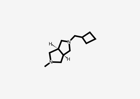 CN1C[C@@H]2CN(CC3CCC3)C[C@@H]2C1